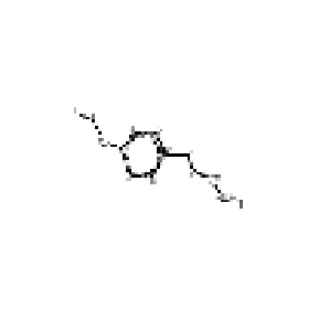 CCOc1ccc(CCO[SiH3])cc1